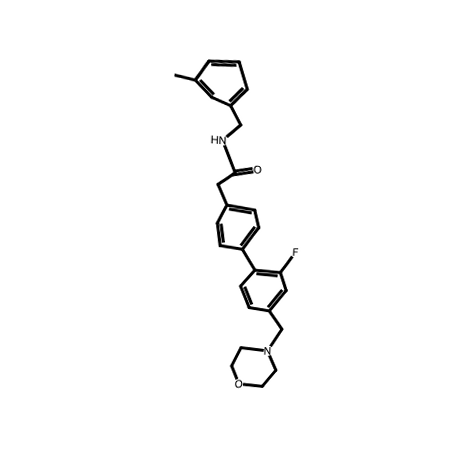 Cc1cccc(CNC(=O)Cc2ccc(-c3ccc(CN4CCOCC4)cc3F)cc2)c1